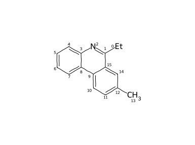 CCc1nc2ccccc2c2ccc(C)cc12